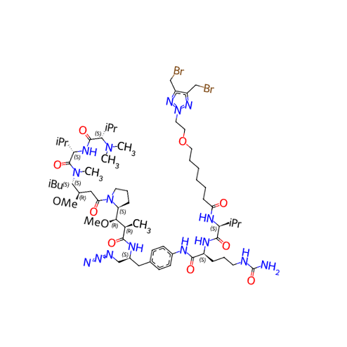 CC[C@H](C)[C@@H]([C@@H](CC(=O)N1CCC[C@H]1[C@H](OC)[C@@H](C)C(=O)N[C@H](CN=[N+]=[N-])Cc1ccc(NC(=O)[C@H](CCCNC(N)=O)NC(=O)[C@@H](NC(=O)CCCCCCOCCn2nc(CBr)c(CBr)n2)C(C)C)cc1)OC)N(C)C(=O)[C@@H](NC(=O)[C@H](C(C)C)N(C)C)C(C)C